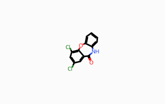 O=C1Nc2ccccc2Oc2c(Cl)cc(Cl)cc21